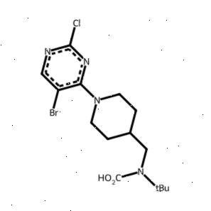 CC(C)(C)N(CC1CCN(c2nc(Cl)ncc2Br)CC1)C(=O)O